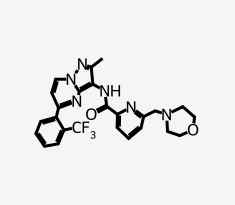 Cc1nn2ccc(-c3ccccc3C(F)(F)F)nc2c1NC(=O)c1cccc(CN2CCOCC2)n1